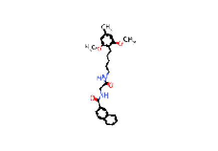 COc1cc(C)cc(OC)c1CCCCCNC(=O)CNC(=O)c1ccc2ccccc2c1